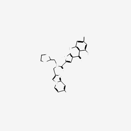 O=C(c1c[nH]c(C(=O)N(Cc2cn3ccc(C(F)(F)F)cc3n2)CC2OCCO2)c1)c1c(F)cc(F)cc1F